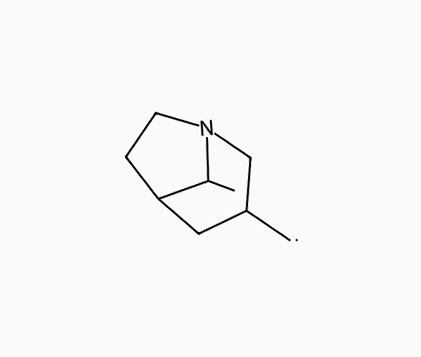 [CH2]C1CC2CCN(C1)C2C